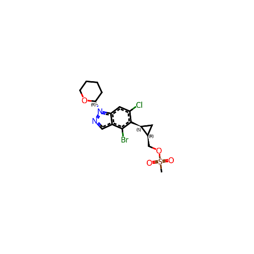 CS(=O)(=O)OC[C@@H]1C[C@@H]1c1c(Cl)cc2c(cnn2[C@H]2CCCCO2)c1Br